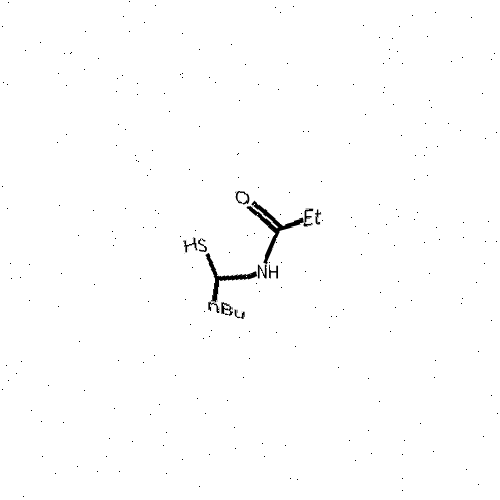 CCCCC(S)NC(=O)CC